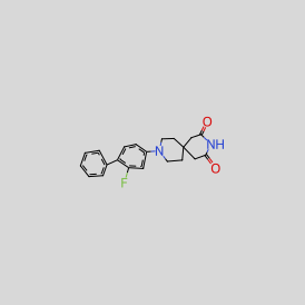 O=C1CC2(CCN(c3ccc(-c4ccccc4)c(F)c3)CC2)CC(=O)N1